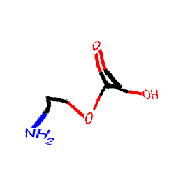 NCOC(=O)O